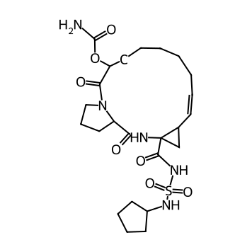 NC(=O)OC1CCCCCC=CC2CC2(C(=O)NS(=O)(=O)NC2CCCC2)NC(=O)C2CCCN2C1=O